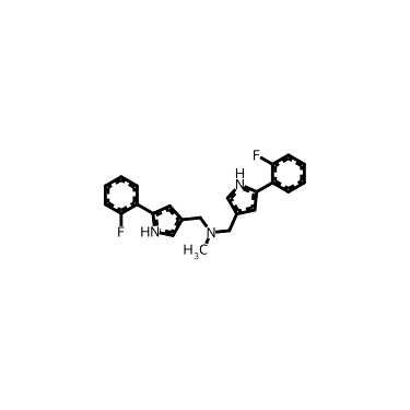 CN(Cc1c[nH]c(-c2ccccc2F)c1)Cc1c[nH]c(-c2ccccc2F)c1